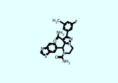 Cc1cc(F)cc(-c2nn3c(c2C(N)=O)C(c2ccc4ncsc4c2)N(C(N)=O)CC3)c1